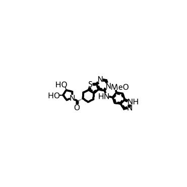 COc1cc2[nH]ncc2cc1Nc1ncnc2sc3c(c12)CC[C@H](C(=O)N1C[C@@H](O)[C@H](O)C1)C3